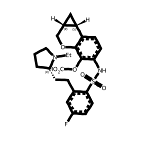 CCN1CCC[C@H]1CCc1cc(F)ccc1S(=O)(=O)Nc1ccc2c(c1OC(=O)O)OC[C@@H]1C[C@H]21